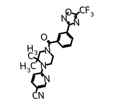 CC1(C)CN(C(=O)c2cccc(-c3noc(C(F)(F)F)n3)c2)CCN1c1ccc(C#N)cn1